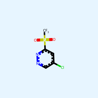 O=S(=O)(c1cc(Cl)cnn1)C(F)(F)F